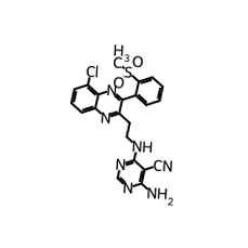 CS(=O)(=O)c1ccccc1-c1nc2c(Cl)cccc2nc1CCNc1ncnc(N)c1C#N